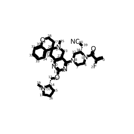 C=C(F)C(=O)N1CCN(c2nc(OC[C@@H]3CCCN3C)nc3c2CN(C)C2(CCOc4ccccc42)C3)C[C@@H]1CC#N